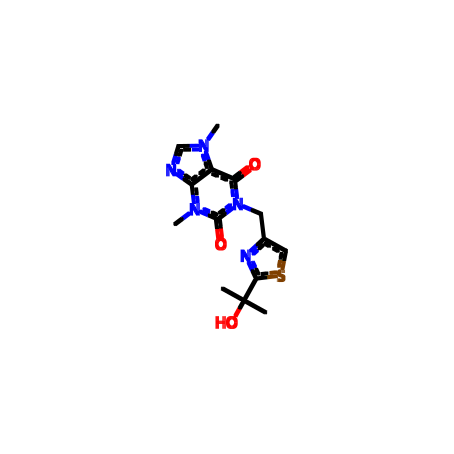 Cn1cnc2c1c(=O)n(Cc1csc(C(C)(C)O)n1)c(=O)n2C